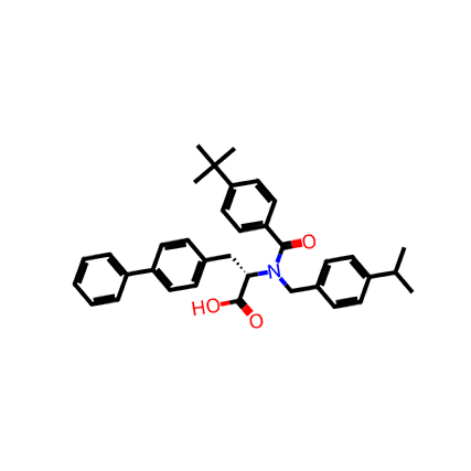 CC(C)c1ccc(CN(C(=O)c2ccc(C(C)(C)C)cc2)[C@@H](Cc2ccc(-c3ccccc3)cc2)C(=O)O)cc1